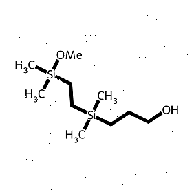 CO[Si](C)(C)CC[Si](C)(C)CCCO